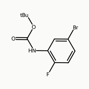 CC(C)(C)OC(=O)Nc1cc(Br)ccc1F